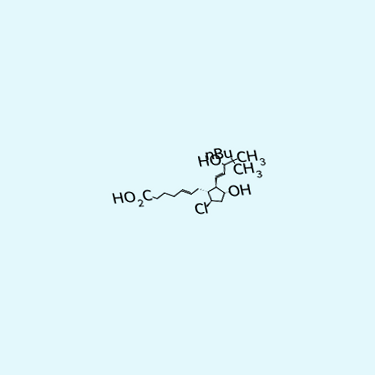 CCCCC(C)(C)[C@H](O)C=C[C@@H]1[C@@H](CC=CCCCC(=O)O)[C@H](Cl)C[C@H]1O